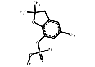 CCOP(=S)(CC)Oc1cc(C(F)(F)F)cc2c1OC(C)(C)C2